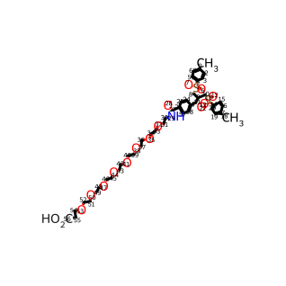 Cc1ccc(S(=O)(=O)CC(CS(=O)(=O)c2ccc(C)cc2)C(=O)c2ccc(C(=O)NCCOCCOCCOCCOCCOCCOCCOCCOCCC(=O)O)cc2)cc1